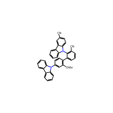 COc1cc(-n2c3ccccc3c3ccccc32)ccc1-c1cccc(C#N)c1-n1c2ccccc2c2cc(C#N)ccc21